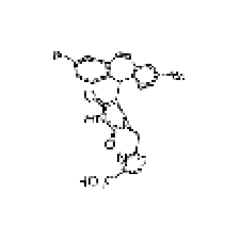 O=C(O)c1csc(Cn2cc(C3c4ccc(Br)cc4C=Cc4cc(Br)ccc43)c(=O)[nH]c2=O)n1